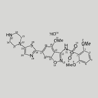 COc1cccc(OC)c1S(=O)(=O)Nc1noc2cc(-c3ncc(N4CCNCC4)s3)cc(OC)c12.Cl